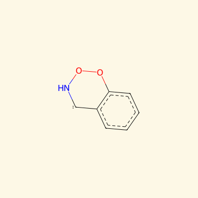 [C]1NOOc2ccccc21